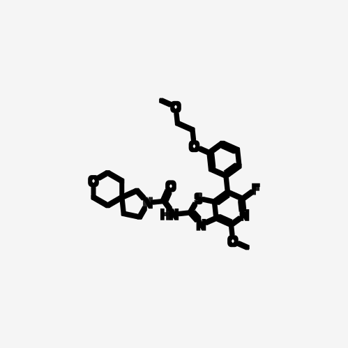 COCCOc1cccc(-c2c(F)nc(OC)c3nc(NC(=O)N4CCC5(CCOCC5)C4)sc23)c1